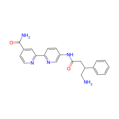 NCC(CC(=O)Nc1ccc(-c2cc(C(N)=O)ccn2)nc1)c1ccccc1